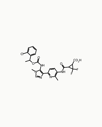 Cc1nc(-c2nnn(C)c2NC(=O)OC(C)c2ccccc2Cl)ccc1NC(=O)C1C(C(=O)O)C1(F)F